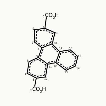 O=C(O)c1ccc2c3ccc(C(=O)O)cc3c3ccccc3c2c1